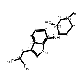 CN1CC[C@@H](Nc2cccc3c(CC(F)F)csc23)[C@@H](F)C1